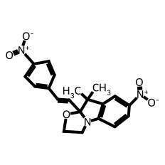 CC1(C)c2cc([N+](=O)[O-])ccc2N2CCOC21/C=C/c1ccc([N+](=O)[O-])cc1